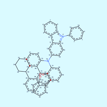 c1ccc(-n2c3ccccc3c3cc(N(c4ccccc4-c4cccc5cccc(C6CCCCC6)c45)c4cccc5c4oc4ccccc45)ccc32)cc1